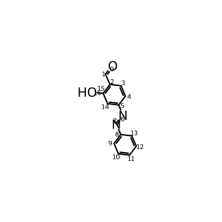 O=Cc1ccc(/N=N/c2ccccc2)cc1O